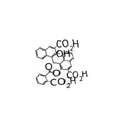 O=C(O)c1ccccc1C(=O)Oc1c(C(=O)O)cc2ccccc2c1Cc1c(O)c(C(=O)O)cc2ccccc12